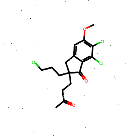 COc1cc2c(c(Cl)c1Cl)C(=O)C(CCCCl)(CCC(C)=O)C2